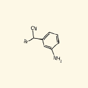 N#CC(Br)c1cccc(N)c1